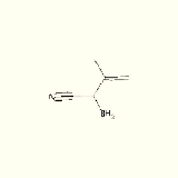 BC(C#N)C(=C)C